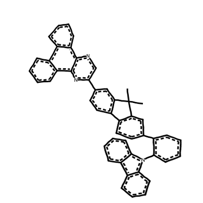 CC1(C)c2cc(-c3cnc4c5ccccc5c5ccccc5c4n3)ccc2-c2ccc(-c3ccccc3-n3c4ccccc4c4ccccc43)cc21